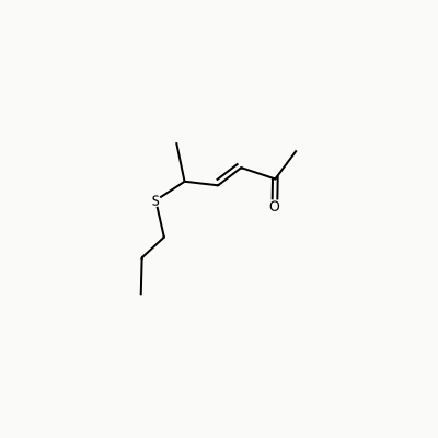 CCCSC(C)C=CC(C)=O